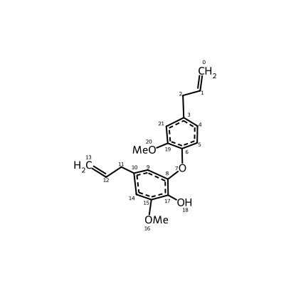 C=CCc1ccc(Oc2cc(CC=C)cc(OC)c2O)c(OC)c1